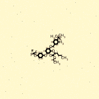 CCCCC(Oc1cc(Oc2ccc(OC(F)(F)F)cc2)ccc1OCc1ccc(C(C)(C)C)cc1)C(=O)OCC